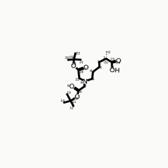 C[C@@H](CCCCN(CC(=O)OC(C)(C)C)CC(=O)OC(C)(C)C)C(=O)O